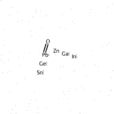 [Ga].[Ge].[In].[O]=[Pb].[Sn].[Zn]